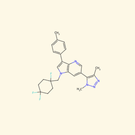 Cc1ccc(-c2cn(CC3(F)CCC(F)(F)CC3)c3cc(-c4c(C)nnn4C)cnc23)cc1